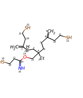 C=C(BCC(CC)(CCC(=C)CCS)COC(=N)CCS)CCS